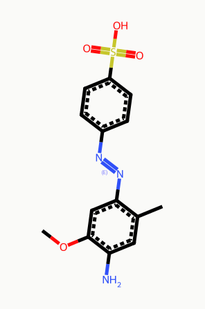 COc1cc(/N=N/c2ccc(S(=O)(=O)O)cc2)c(C)cc1N